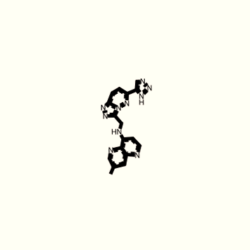 Cc1cnc2c(NCc3nnc4ccc(-c5cnn[nH]5)nn34)ccnc2c1